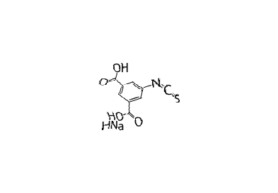 O=C(O)c1cc(N=C=S)cc(C(=O)O)c1.[NaH]